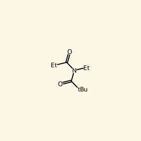 CCC(=O)N(CC)C(=O)C(C)(C)C